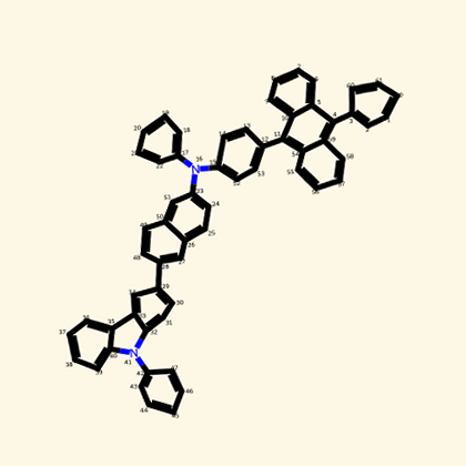 c1ccc(-c2c3ccccc3c(-c3ccc(N(c4ccccc4)c4ccc5cc(-c6ccc7c(c6)c6ccccc6n7-c6ccccc6)ccc5c4)cc3)c3ccccc23)cc1